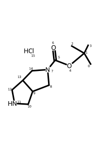 CC(C)(C)OC(=O)N1CC2CNCC2C1.Cl